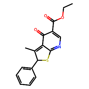 CCOC(=O)C1=CN=C2SC(c3ccccc3)C(C)=C2C1=O